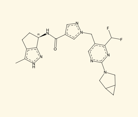 Cc1[nH]nc2c1CC[C@H]2NC(=O)c1cnn(Cc2cnc(N3CC4CC4C3)nc2C(F)F)c1